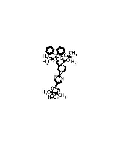 CC(C)(C)OC(=O)N1CCN(c2ncc(B3OC(C)(C)C(C)(C)O3)cn2)CC1CO[Si](c1ccccc1)(c1ccccc1)C(C)(C)C